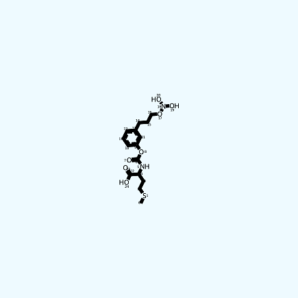 CSCCC(NC(=O)Oc1cccc(CCCON(O)O)c1)C(=O)O